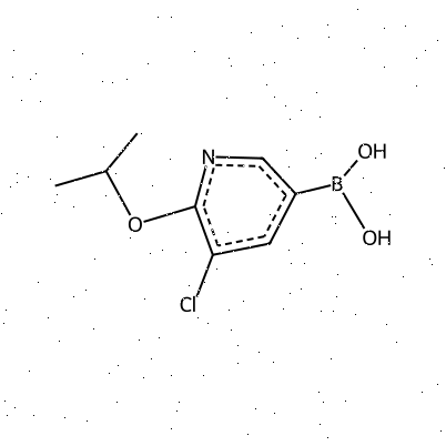 CC(C)Oc1ncc(B(O)O)cc1Cl